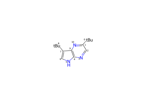 CC(C)(C)c1cnc2[nH]cc(C(C)(C)C)c2n1